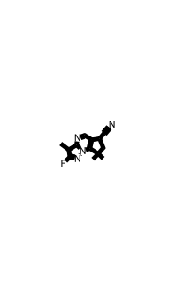 CC1C(F)=NN2C3=C(C=NC12)C(C#N)CC3(C)C